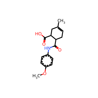 COc1ccc(NC(=O)C2CC=C(C)CC2C(=O)O)cc1